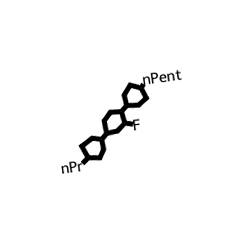 CCCCCC1CCC(C2CCC(C3CCC(CCC)CC3)CC2F)CC1